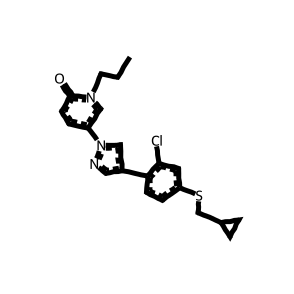 CCCn1cc(-n2cc(-c3ccc(SCC4CC4)cc3Cl)cn2)ccc1=O